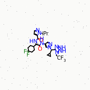 CC(C)n1nccc1C(=O)N[C@H](C(=O)Nc1cnn(C(C2=NNNN2CC(F)(F)F)C2CC2)c1)C1CCC(F)(F)CC1